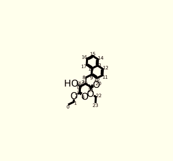 CCOC(=O)[C@@H](O)[C@@H](Cc1cccc2ccccc12)C(=O)OCC